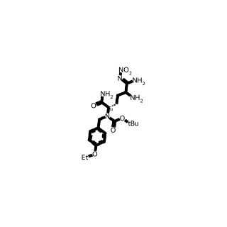 CCOc1ccc(CN(C(=O)OC(C)(C)C)[C@@H](CCC(N)C(N)=N[N+](=O)[O-])C(N)=O)cc1